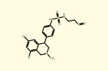 CN1Cc2c(Cl)cc(Cl)cc2C(c2ccc(NS(=O)(=O)NCCP=O)cc2)C1